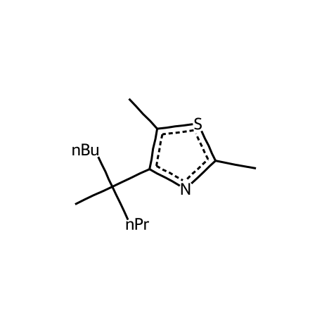 CCCCC(C)(CCC)c1nc(C)sc1C